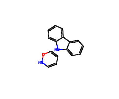 C1=CNOC=C1.c1ccc2c(c1)[nH]c1ccccc12